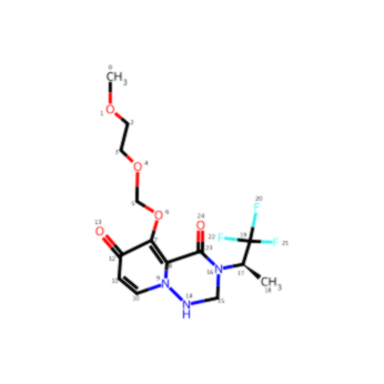 COCCOCOc1c2n(ccc1=O)NCN([C@H](C)C(F)(F)F)C2=O